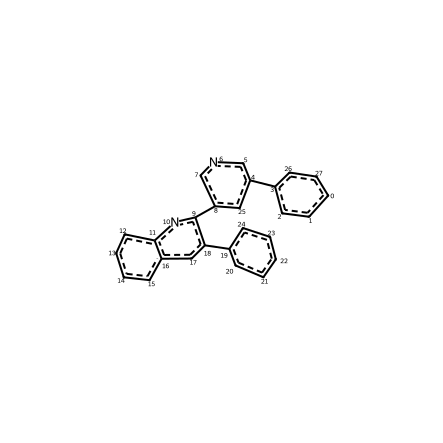 c1ccc(-c2cncc(-c3nc4ccccc4cc3-c3ccccc3)c2)cc1